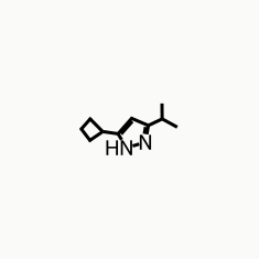 CC(C)c1cc(C2CCC2)[nH]n1